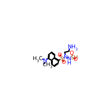 CN(C)c1cccc2c(S(=O)(=O)N(CCN)N[SH](=O)=O)cccc12